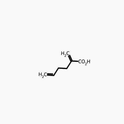 C=CCCC(=C)C(=O)O